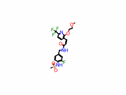 COCCOc1nc(C(F)(F)F)ccc1/C=C\C(=O)NCc1ccc(NS(C)(=O)=O)c(F)c1